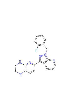 Fc1ccccc1Cn1nc(-c2ccc3c(n2)NCCN3)c2cccnc21